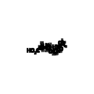 Cc1ccoc1C(=O)Nc1cc(Oc2ccnc(-c3cc(C(=O)O)cn3C)c2)ccc1F